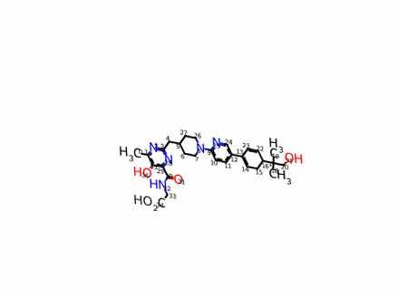 Cc1nc(CC2CCN(c3ccc(C4=CCC(C(C)(C)CO)C=C4)cn3)CC2)nc(C(=O)NCC(=O)O)c1O